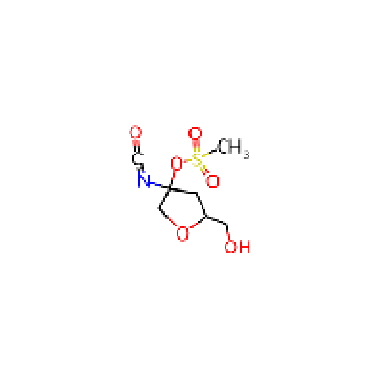 CS(=O)(=O)OC1(N=C=O)COC(CO)C1